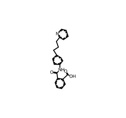 O=C(O)c1ccccc1C(=O)Nc1ccc(CCCc2ccccn2)cc1